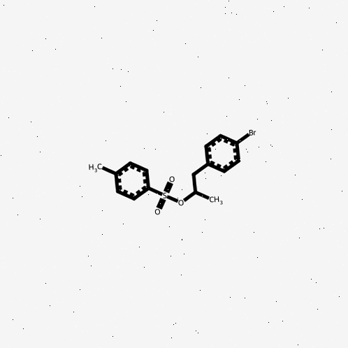 Cc1ccc(S(=O)(=O)OC(C)Cc2ccc(Br)cc2)cc1